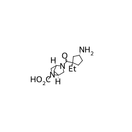 CC[C@]1(C(=O)N2C[C@@H]3C[C@H]2CN3C(=O)O)CC[C@@H](N)C1